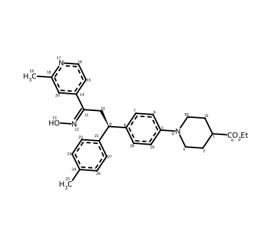 CCOC(=O)C1CCN(c2ccc([C@H](CC(=NO)c3ccnc(C)c3)c3ccc(C)cc3)cc2)CC1